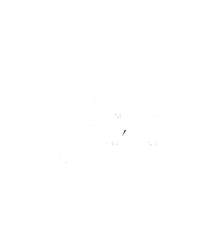 CC[C@H](C)[C@H](NC(c1ccccc1)c1ccccc1)C(N)=O.Cl